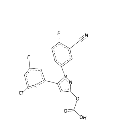 N#Cc1cc(-n2nc(OC(=O)O)cc2-c2cc(F)cc(Cl)c2)ccc1F